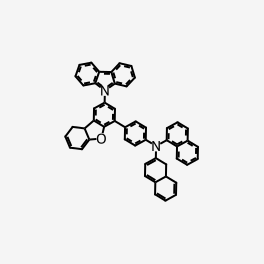 C1=CCC2C(=C1)Oc1c(-c3ccc(N(C4=CC=C5C=CC=CC5C4)c4cccc5ccccc45)cc3)cc(-n3c4ccccc4c4ccccc43)cc12